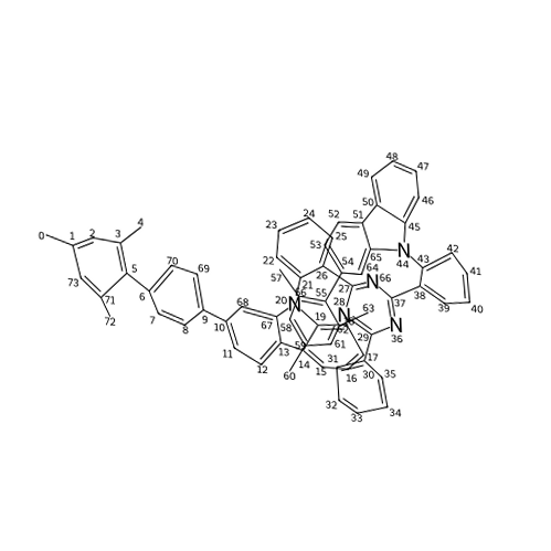 Cc1cc(C)c(-c2ccc(-c3ccc4c5ccccc5n(-c5ccccc5-c5nc(-c6ccccc6)nc(-c6ccccc6-n6c7ccccc7c7ccc(-c8c(C)cc(C)cc8C)cc76)n5)c4c3)cc2)c(C)c1